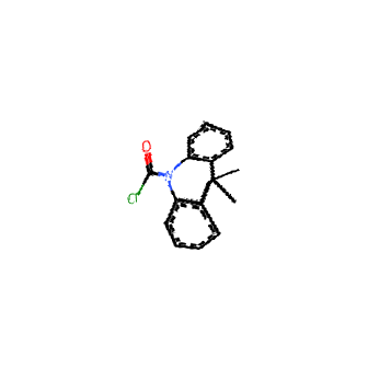 CC1(C)c2ccccc2N(C(=O)Cl)c2ccccc21